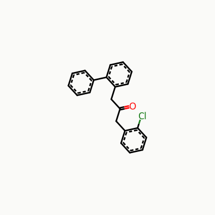 O=C(Cc1ccccc1Cl)Cc1ccccc1-c1ccccc1